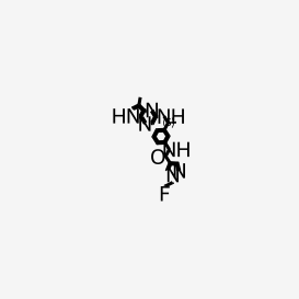 Cc1c[nH]c2ncc(N[C@@H](C)c3cccc(NC(=O)c4cnn(CCF)c4)c3)nc12